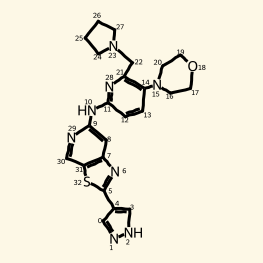 c1n[nH]cc1-c1nc2cc(Nc3ccc(N4CCOCC4)c(CN4CCCC4)n3)ncc2s1